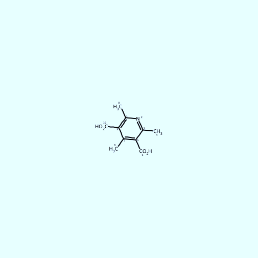 Cc1nc(C)c(C(=O)O)c(C)c1C(=O)O